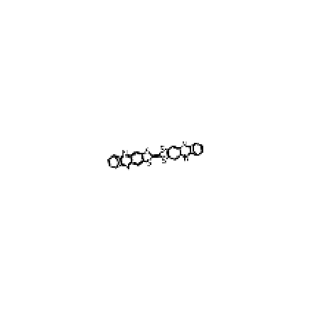 C1=CC2CCC1C1=NC3=CC4=C(CC3N=C12)SC(=C1Sc2cc3nc5c(nc3cc2S1)C1C=CC5CC1)S4